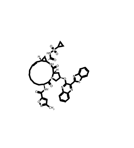 Cc1cc(C(=O)N[C@H]2CCCCCC=C[C@@H]3C[C@@]3(C(=O)NS(=O)(=O)C3CC3)NC(=O)[C@@H]3C[C@@H](Oc4nc5ccccc5nc4-c4nc5ccccc5s4)CN3C2=O)on1